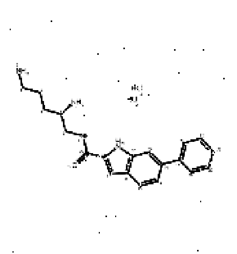 Cl.Cl.NCCC[C@@H](N)CNC(=O)c1cc2ccc(-c3ccncc3)cc2[nH]1